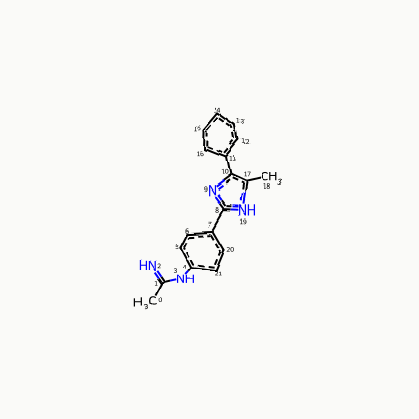 CC(=N)Nc1ccc(-c2nc(-c3ccccc3)c(C)[nH]2)cc1